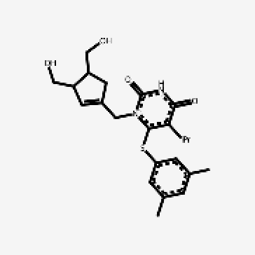 Cc1cc(C)cc(Sc2c(C(C)C)c(=O)[nH]c(=O)n2CC2=CC(CO)C(CO)C2)c1